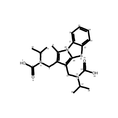 Cc1c(CN(C(=O)O)C(C)C)c(CN(C(=O)O)C(C)C)c2sc3ccccc3n12